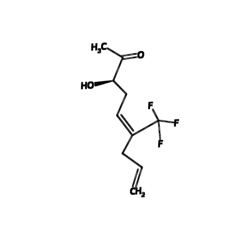 C=CC/C(=C/C[C@@H](O)C(C)=O)C(F)(F)F